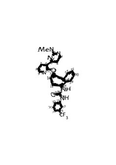 CNc1nccc(-c2cccnc2Oc2ccc(NC(=O)Nc3cccc(C(F)(F)F)c3)c3ccccc23)n1